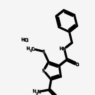 CSc1sc(C(=N)N)cc1C(=O)NCc1ccccc1.Cl